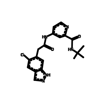 CC(C)(C)NC(=O)c1cc(NC(=O)Cc2cc3[nH]ncc3cc2Cl)ccn1